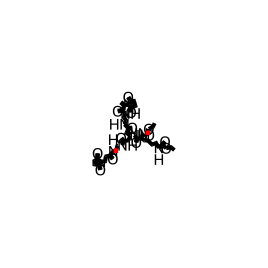 C=C(C(=O)NCCNC(=O)CC(CC(=O)NCCNC(=O)CCN1C(=O)C=CC1=O)NC(=O)C(CCCCNC(=O)OCC)NC(=O)OCC)N1C(=O)C=CC1=O